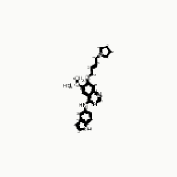 COc1cc2c(Nc3ccc4[nH]ccc4c3)ncnc2cc1OCC=CCN1CCCC1.Cl